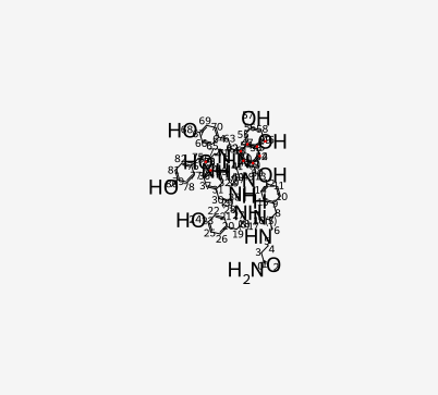 NC(=O)CCNC[C@H](Cc1ccc(O)cc1)NC[C@H](Cc1ccc(O)cc1)NC[C@H](Cc1ccc(O)cc1)NC[C@H](Cc1ccc(O)cc1)NC[C@H](Cc1ccc(O)cc1)NC[C@H](Cc1ccc(O)cc1)NC[C@@H](N)Cc1ccc(O)cc1